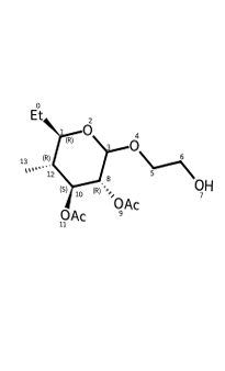 CC[C@H]1OC(OCCO)[C@H](OC(C)=O)[C@@H](OC(C)=O)[C@@H]1C